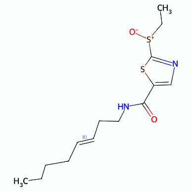 CCCC/C=C/CCNC(=O)c1cnc([S+]([O-])CC)s1